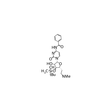 CNCC[C@H]1O[C@@H](n2ccc(NC(=O)c3ccccc3)nc2=O)C(O)C1O[Si](C)(C)C(C)(C)C